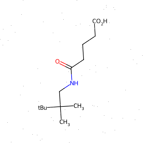 CC(C)(C)C(C)(C)CNC(=O)CCCC(=O)O